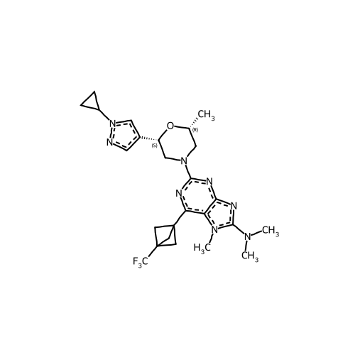 C[C@@H]1CN(c2nc(C34CC(C(F)(F)F)(C3)C4)c3c(n2)nc(N(C)C)n3C)C[C@H](c2cnn(C3CC3)c2)O1